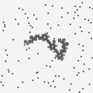 C=CC(=O)O/C=C\Oc1cccc(C#Cc2ccc(C#Cc3ccccc3O/C=C\OC(=O)C=C)cc2F)c1